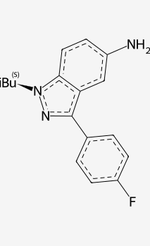 CC[C@H](C)n1nc(-c2ccc(F)cc2)c2cc(N)ccc21